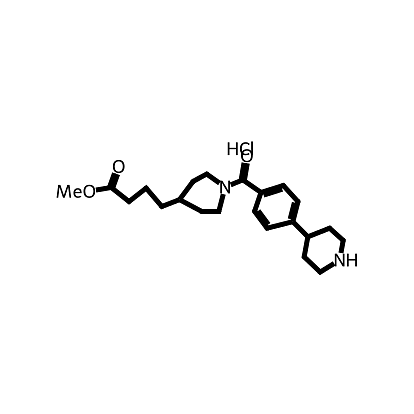 COC(=O)CCCC1CCN(C(=O)c2ccc(C3CCNCC3)cc2)CC1.Cl